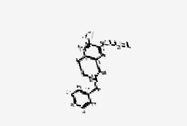 CCOC(=O)c1cc2c(nc1Cl)CCN(Cc1ccccc1)C2